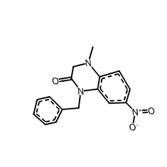 CN1CC(=O)N(Cc2ccccc2)c2cc([N+](=O)[O-])ccc21